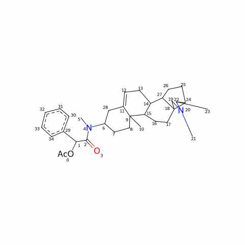 CC(=O)OC(C(=O)N(C)C1CCC2(C)C(=CCC3C2CCC24CN(C)C(C)C2CCC34)C1)c1ccccc1